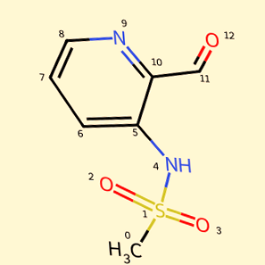 CS(=O)(=O)Nc1cccnc1C=O